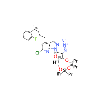 CC(C)[Si]1(C(C)C)OC[C@H]2O[C@@H](n3ncc4c(CCC[C@@H](C)c5ccccc5F)cc(Cl)nc43)C(N=[N+]=[N-])C2O[Si](C(C)C)(C(C)C)O1